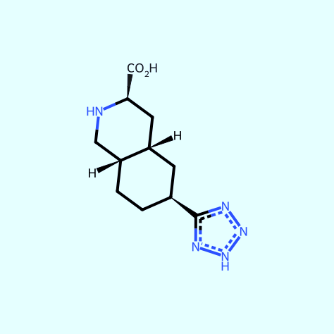 O=C(O)[C@H]1C[C@@H]2C[C@@H](c3nn[nH]n3)CC[C@@H]2CN1